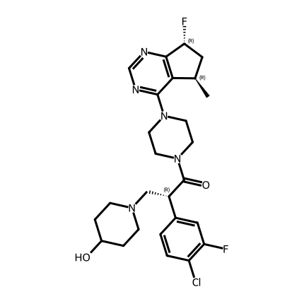 C[C@@H]1C[C@@H](F)c2ncnc(N3CCN(C(=O)[C@@H](CN4CCC(O)CC4)c4ccc(Cl)c(F)c4)CC3)c21